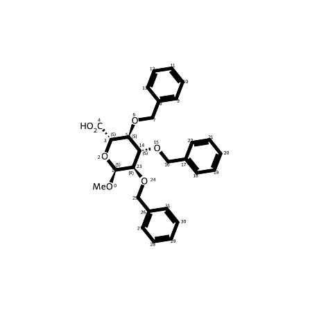 CO[C@H]1O[C@H](C(=O)O)[C@@H](OCc2ccccc2)[C@H](OCc2ccccc2)[C@H]1OCc1ccccc1